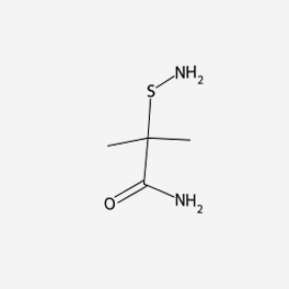 CC(C)(SN)C(N)=O